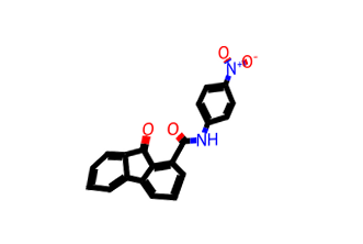 O=C(Nc1ccc([N+](=O)[O-])cc1)c1cccc2c1C(=O)c1ccccc1-2